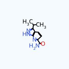 CC(C)c1n[nH]c2nc(C(N)=O)ccc12